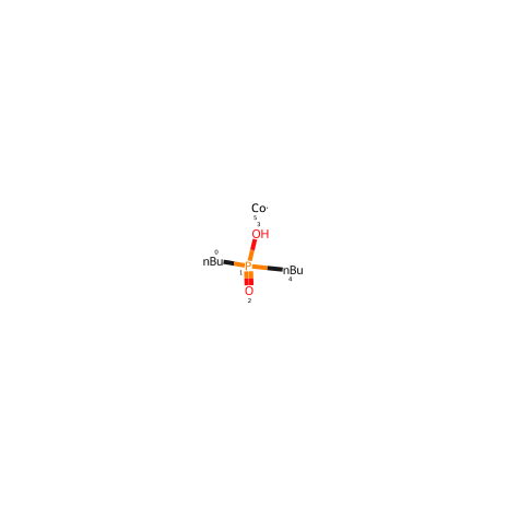 CCCCP(=O)(O)CCCC.[Co]